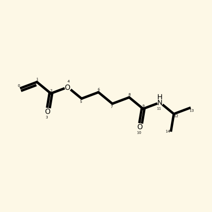 C=CC(=O)OCCCCC(=O)NC(C)C